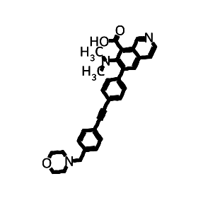 CN(C)c1c(-c2ccc(C#Cc3ccc(CN4CCOCC4)cc3)cc2)cc2ccncc2c1C(=O)O